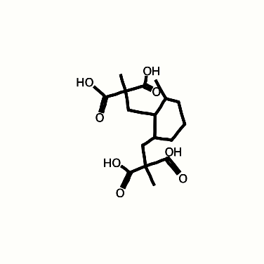 CC1CCCC(CC(C)(C(=O)O)C(=O)O)C1CC(C)(C(=O)O)C(=O)O